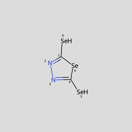 [SeH]c1nnc([SeH])[se]1